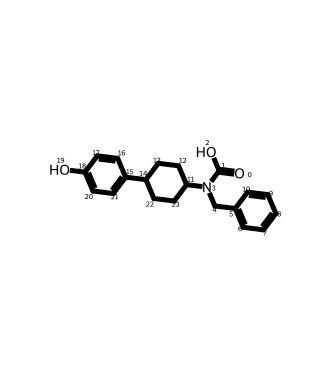 O=C(O)N(Cc1ccccc1)C1CCC(c2ccc(O)cc2)CC1